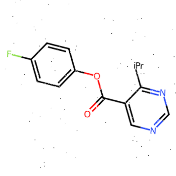 CC(C)c1ncncc1C(=O)Oc1ccc(F)cc1